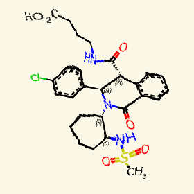 CS(=O)(=O)N[C@H]1CCCC[C@@H]1N1C(=O)c2ccccc2[C@@H](C(=O)NCCCC(=O)O)[C@@H]1c1ccc(Cl)cc1